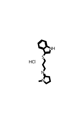 CN1CCCC1=NCCCSc1c[nH]c2ccccc12.Cl